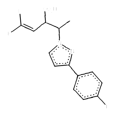 CC(C(C=C(F)F)C(=O)O)n1ccc(-c2ccc(F)cc2)n1